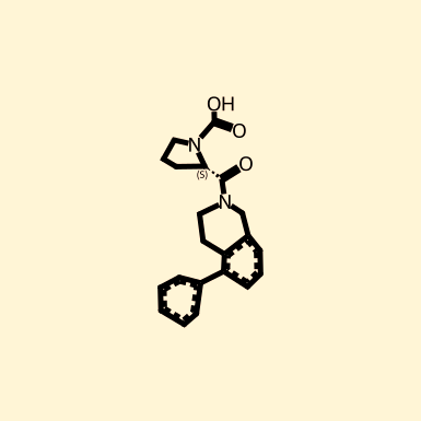 O=C([C@@H]1CCCN1C(=O)O)N1CCc2c(cccc2-c2ccccc2)C1